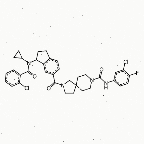 O=C(Nc1ccc(F)c(Cl)c1)N1CCC2(CC1)CCN(C(=O)c1ccc3c(c1)C(N(C(=O)c1ccccc1Cl)C1CC1)CC3)C2